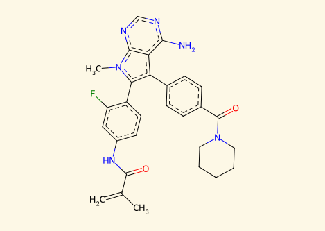 C=C(C)C(=O)Nc1ccc(-c2c(-c3ccc(C(=O)N4CCCCC4)cc3)c3c(N)ncnc3n2C)c(F)c1